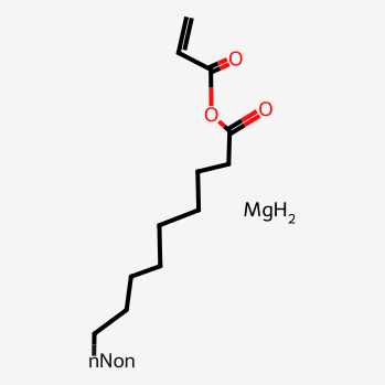 C=CC(=O)OC(=O)CCCCCCCCCCCCCCCCC.[MgH2]